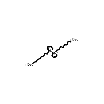 CCCCCCCCCCCCCCCCCCc1cccc[n+]1-c1cccc[n+]1CCCCCCCCCCCCCCCCCC